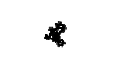 Brc1cn(C2CCCCO2)nc1NCc1ccccc1C1CC1